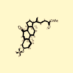 COC(=O)CCC(C)C1CCC2C3C(=O)CC4C[C@H](O[Si](C)(C)C)CC[C@]4(C)C3CC[C@]12C